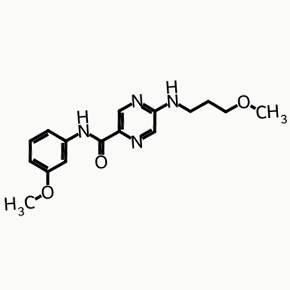 COCCCNc1cnc(C(=O)Nc2cccc(OC)c2)cn1